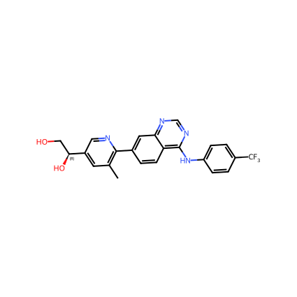 Cc1cc([C@@H](O)CO)cnc1-c1ccc2c(Nc3ccc(C(F)(F)F)cc3)ncnc2c1